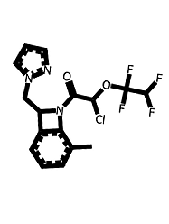 Cc1cccc2c1N(C(=O)C(Cl)OC(F)(F)C(F)F)C2Cn1cccn1